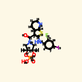 O=C(c1c(Nc2ccc(I)cc2F)sc2ncccc12)N1C[C@@H]2OP(=O)(O)O[C@@H]2C1